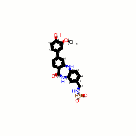 COc1cc(-c2ccc3c(c2)Nc2ccc(CN[SH](=O)=O)cc2NC3=O)ccc1O